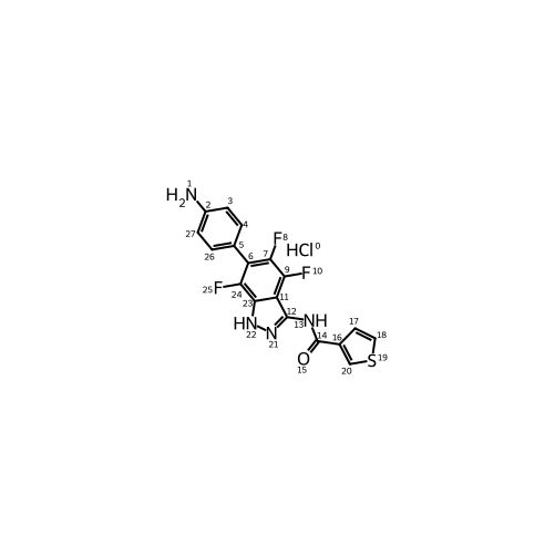 Cl.Nc1ccc(-c2c(F)c(F)c3c(NC(=O)c4ccsc4)n[nH]c3c2F)cc1